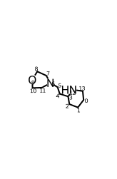 C1CCC(CCN2CCOCC2)NC1